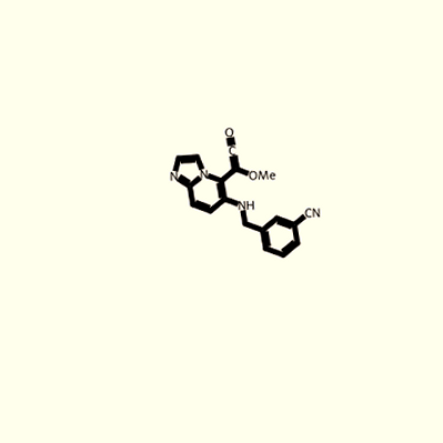 COC(=C=O)c1c(NCc2cccc(C#N)c2)ccc2nccn12